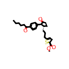 CCCCCC(=O)c1ccc(C2C(=O)CC[C@@H]2CCCC2=CCC(C(=O)OC)S2)cc1